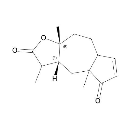 CC1C(=O)O[C@]2(C)CCC3C=CC(=O)C3(C)C[C@H]12